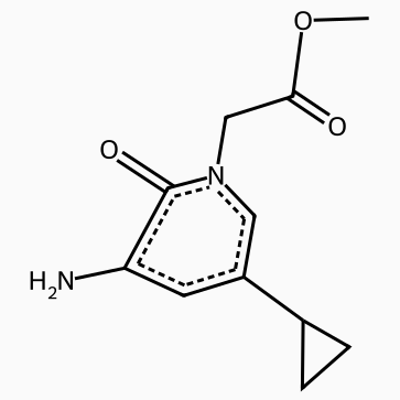 COC(=O)Cn1cc(C2CC2)cc(N)c1=O